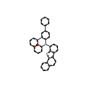 c1ccc(-c2ccc(N(c3ccccc3)c3cccc4c3sc3c5ccccc5ccc43)c(-c3ccccc3)c2)cc1